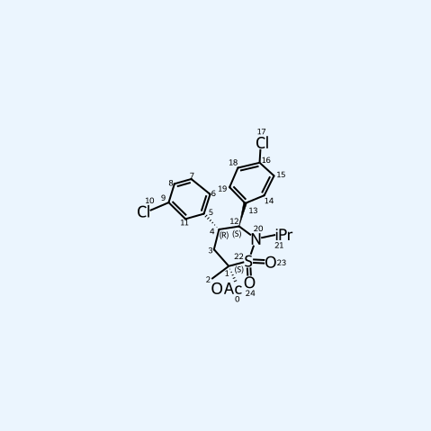 CC(=O)O[C@]1(C)C[C@H](c2cccc(Cl)c2)[C@@H](c2ccc(Cl)cc2)N(C(C)C)S1(=O)=O